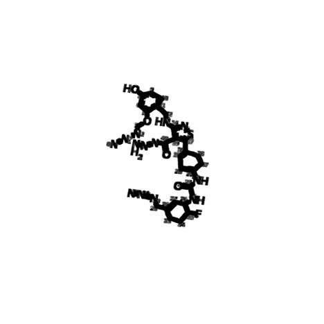 [N-]=[N+]=NCOc1cc(O)ccc1CNc1nsc(C2=CC=C(NC(=O)NC3C=C(CN=[N+]=[N-])CCC3F)CC2)c1C(=O)N=NN